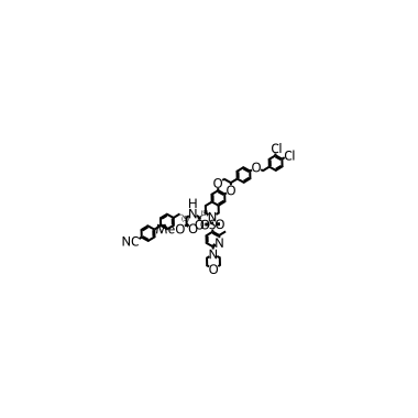 COC(=O)[C@H](Cc1ccc(-c2ccc(C#N)cc2)cc1)NC(=O)[C@@H]1Cc2cc3c(cc2CN1S(=O)(=O)c1ccc(N2CCOCC2)nc1C)OC(c1ccc(OCc2ccc(Cl)c(Cl)c2)cc1)CO3